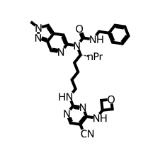 CCC[C@H](CCCCNc1ncc(C#N)c(NC2COC2)n1)N(C(=O)NCc1ccccc1)c1cc2cn(C)nc2cn1